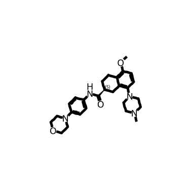 COc1ccc(N2CCN(C)CC2)c2c1CC[C@H](C(=O)Nc1ccc(N3CCOCC3)cc1)C2